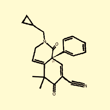 CC1(C)C(=O)C(C#N)=C[C@@]2(c3ccccc3)C(=O)N(CC3CC3)CC=C12